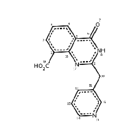 O=C(O)c1cccc2c(=O)[nH]c(Cc3cccnc3)nc12